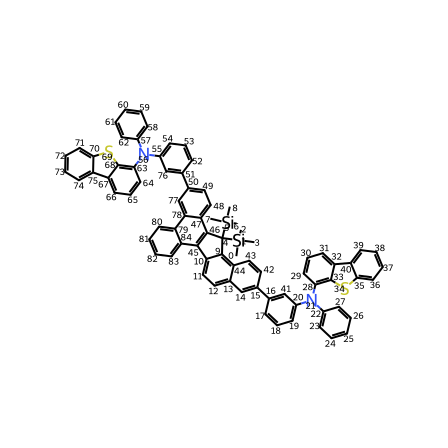 C[Si](C)(C)C1([Si](C)(C)C)c2c(ccc3cc(-c4cccc(N(c5ccccc5)c5cccc6c5sc5ccccc56)c4)ccc23)-c2c1c1ccc(-c3cccc(N(c4ccccc4)c4cccc5c4sc4ccccc45)c3)cc1c1ccccc21